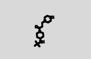 CC(C)(C)NC1CCN(C(=O)CCN2CCNCC2)CC1